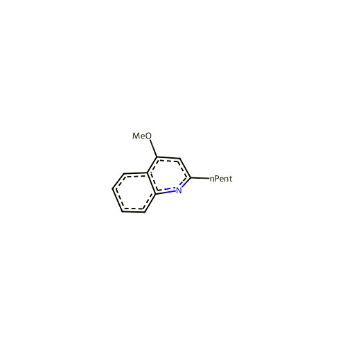 CCCCCc1cc(OC)c2ccccc2n1